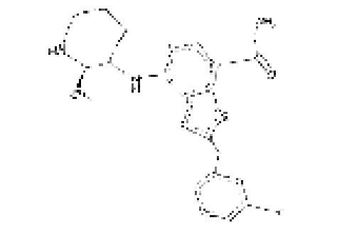 C[C@H]1NCCC[C@@H]1Nc1ncc(C(N)=O)c2sc(-c3cccc(F)c3)cc12